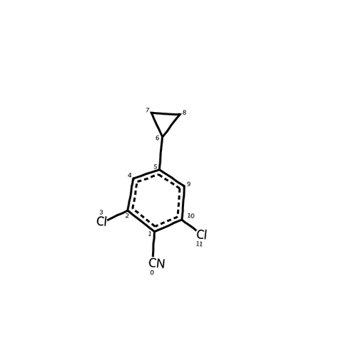 N#Cc1c(Cl)cc(C2CC2)cc1Cl